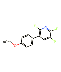 CCCCCCCCOc1ccc(-c2cc(F)c(F)nc2F)cc1